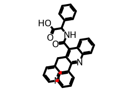 O=C(NC(C(=O)O)c1ccccc1)c1c(Cc2cccnc2)c(-c2ccccc2)nc2ccccc12